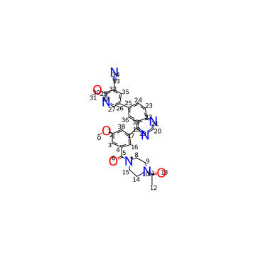 COc1cc(C(=O)N2CCN(C(C)=O)CC2)cc(-c2ncnc3ccc(-c4cnc(OC)c(C#N)c4)cc23)c1